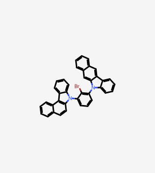 Brc1c(-n2c3ccccc3c3cc4ccccc4cc32)cccc1-n1c2ccccc2c2c3ccccc3ccc21